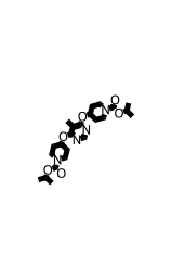 Cc1c(OC2CCN(C(=O)OC(C)C)CC2)ncnc1OC1CCN(C(=O)OC(C)C)CC1